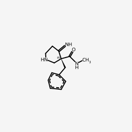 CNC(=O)[C@]1(Cc2ccccc2)CNCCC1=N